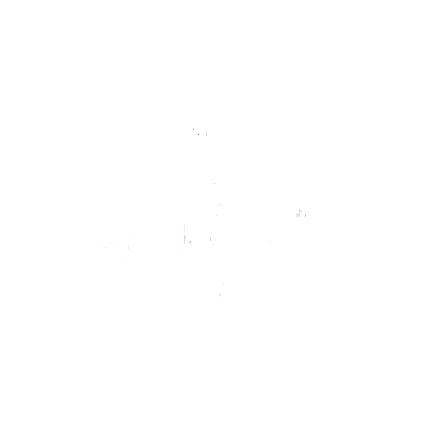 CCC(=O)[O-].CCCCCCCCCCCC(=O)NCC(=O)O.[Na+]